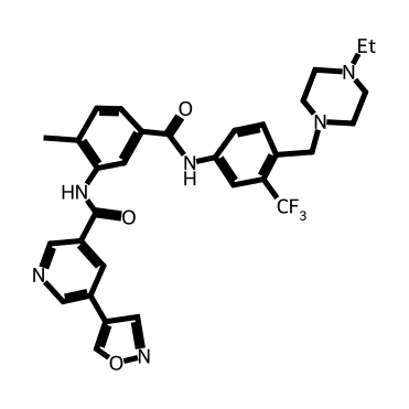 CCN1CCN(Cc2ccc(NC(=O)c3ccc(C)c(NC(=O)c4cncc(-c5cnoc5)c4)c3)cc2C(F)(F)F)CC1